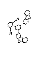 N#Cc1cccc(C#N)c1-c1cc(-c2ccc3oc4ccccc4c3c2)cc(-c2ccc3sc4ccccc4c3c2)c1